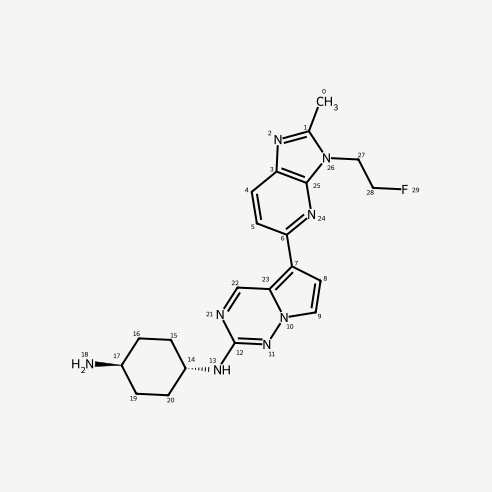 Cc1nc2ccc(-c3ccn4nc(N[C@H]5CC[C@H](N)CC5)ncc34)nc2n1CCF